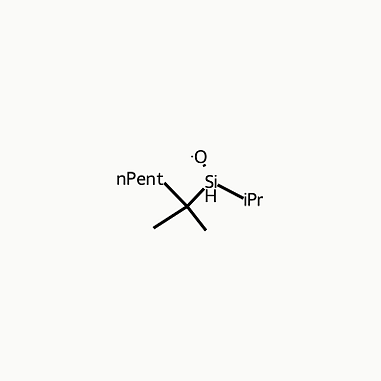 CCCCCC(C)(C)[SiH]([O])C(C)C